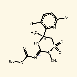 CN1/C(=N/C(=O)OC(C)(C)C)N[C@](C)(c2nc(Br)ccc2Cl)CS1(=O)=O